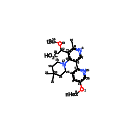 CCCCCCOc1ccc(-c2cnc(C)c(C(OC(C)(C)C)C(=O)O)c2N2CCC(C)(C)CC2)nc1